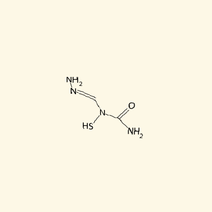 NN=CN(S)C(N)=O